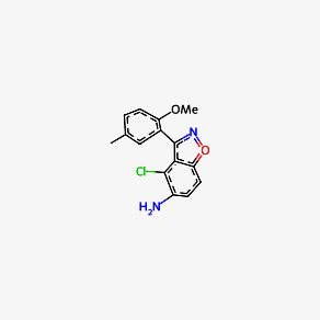 COc1ccc(C)cc1-c1noc2ccc(N)c(Cl)c12